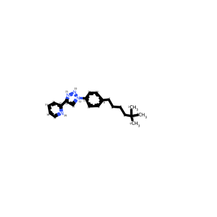 CC(C)(C)CCCCc1ccc(-n2cc(-c3ccccn3)nn2)cc1